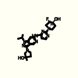 CC(C)n1nc(N2CCC(C)(O)C2)c2cnc(Nc3ccnc(N4CC[C@@H](O)[C@@H](F)C4)n3)cc21